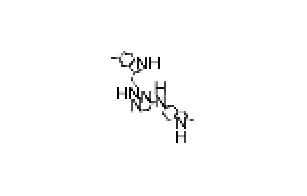 Cc1ccc2[nH]cc(CCNc3nccc(Nc4ccc5[nH]c(C)cc5c4)n3)c2c1